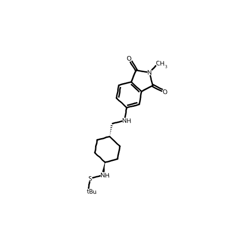 CN1C(=O)c2ccc(NC[C@H]3CC[C@H](NSC(C)(C)C)CC3)cc2C1=O